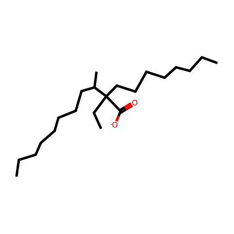 CCCCCCCCC(C)C(CC)(CCCCCCCC)C([O])=O